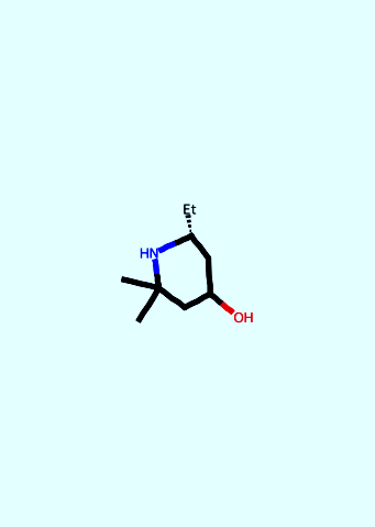 CC[C@@H]1CC(O)CC(C)(C)N1